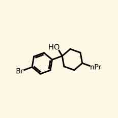 CCCC1CCC(O)(c2ccc(Br)cc2)CC1